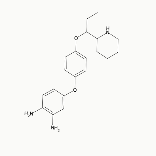 CCC(Oc1ccc(Oc2ccc(N)c(N)c2)cc1)C1CCCCN1